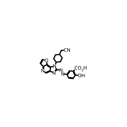 N#CCC1CCC(n2c(/N=N/c3ccc(O)c(C(=O)O)c3)nc3cnc4ccoc4c32)CC1